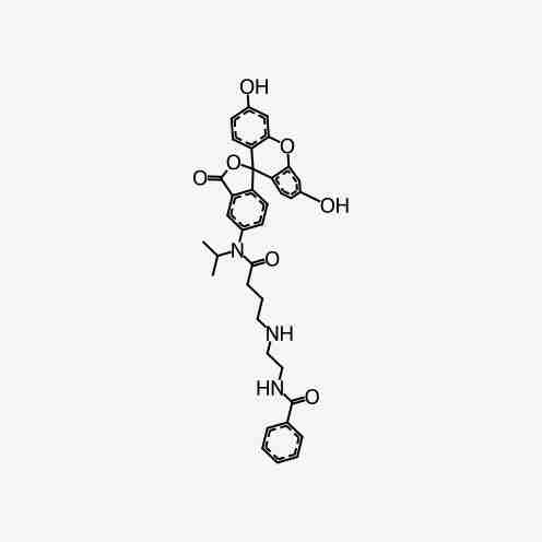 CC(C)N(C(=O)CCCNCCNC(=O)c1ccccc1)c1ccc2c(c1)C(=O)OC21c2ccc(O)cc2Oc2cc(O)ccc21